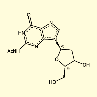 CC(=O)Nc1nc2c(ncn2[C@H]2CC(O)[C@@H](CO)O2)c(=O)[nH]1